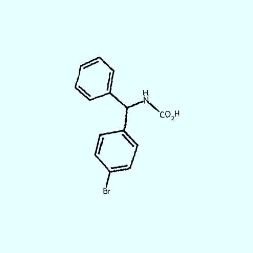 O=C(O)NC(c1ccccc1)c1ccc(Br)cc1